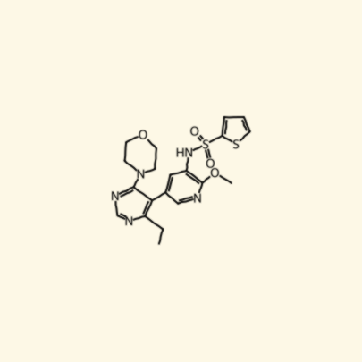 CCc1ncnc(N2CCOCC2)c1-c1cnc(OC)c(NS(=O)(=O)c2cccs2)c1